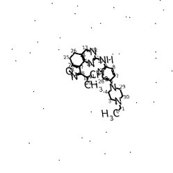 CCN1CCN(c2ccc(Nc3ncc4c(n3)-c3c(C(C)C)noc3CC4)nc2)CC1